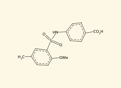 COc1ccc(C)cc1S(=O)(=O)Nc1ccc(C(=O)O)cc1